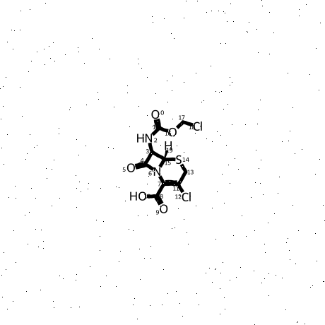 O=C(NC1C(=O)N2C(C(=O)O)=C(Cl)CS[C@@H]12)OCCl